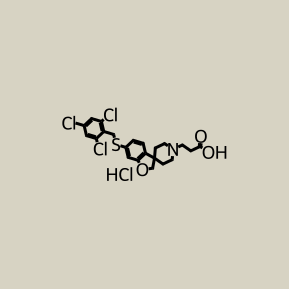 Cl.O=C(O)CCN1CCC2(CC1)COc1cc(SCc3c(Cl)cc(Cl)cc3Cl)ccc12